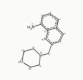 Nc1cccc2ccc(CN3CCOCC3)nc12